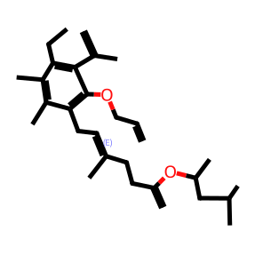 C=CCOc1c(C/C=C(\C)CCC(=C)OC(C)CC(C)C)c(C)c(C)c(CC)c1C(=C)C